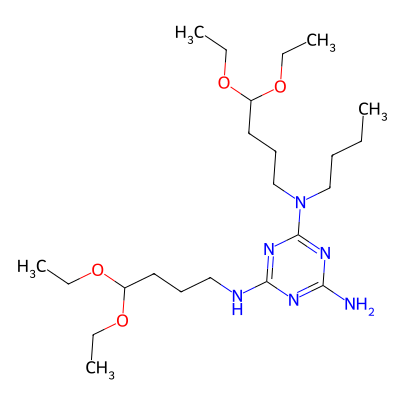 CCCCN(CCCC(OCC)OCC)c1nc(N)nc(NCCCC(OCC)OCC)n1